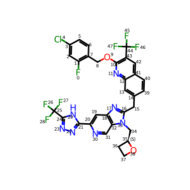 Fc1cc(Cl)ccc1COc1nc2cc(Cc3nc4cc(-c5nnc(C(F)(F)F)[nH]5)ncc4n3C[C@@H]3CCO3)ccc2cc1C(F)(F)F